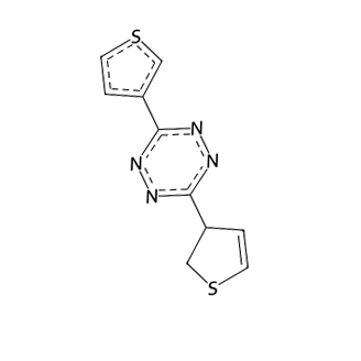 C1=CC(c2nnc(-c3ccsc3)nn2)CS1